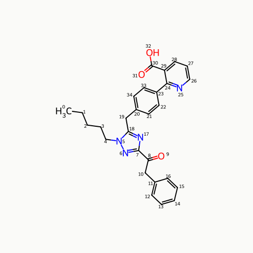 CCCCCn1nc(C(=O)Cc2ccccc2)nc1Cc1ccc(-c2ncccc2C(=O)O)cc1